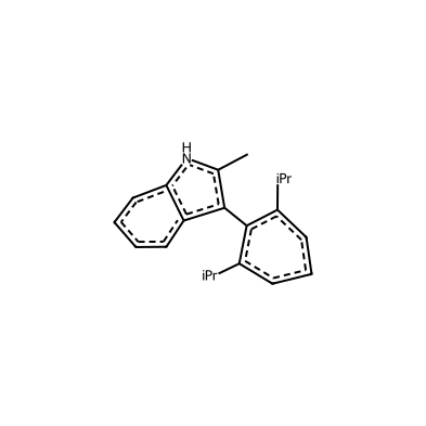 Cc1[nH]c2ccccc2c1-c1c(C(C)C)cccc1C(C)C